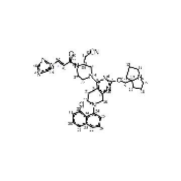 N#CC[C@H]1CN(c2nc(OCC34CCCN3CCC4)nc3c2CCN(c2cccc4cccc(Cl)c24)C3)CCN1C(=O)/C=C/n1cncn1